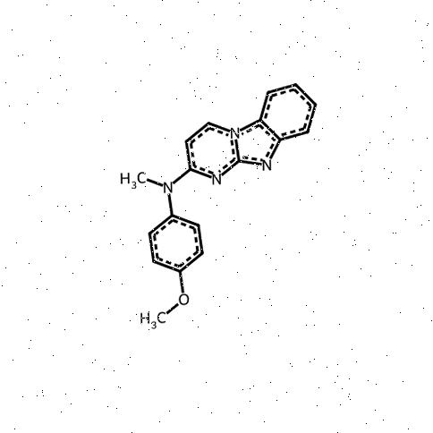 COc1ccc(N(C)c2ccn3c(n2)nc2ccccc23)cc1